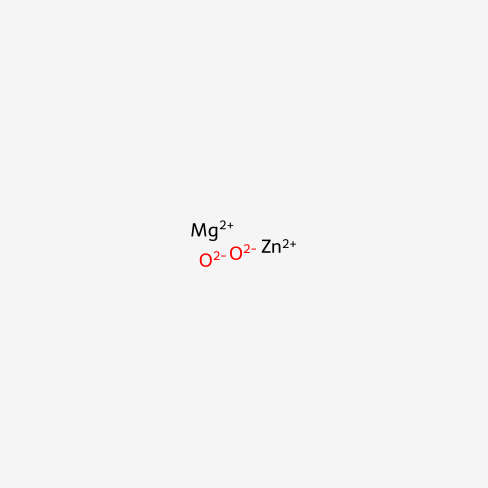 [Mg+2].[O-2].[O-2].[Zn+2]